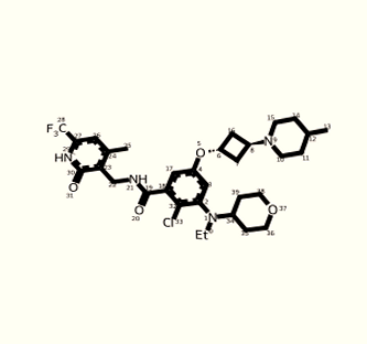 CCN(c1cc(O[C@H]2C[C@H](N3CCC(C)CC3)C2)cc(C(=O)NCc2c(C)cc(C(F)(F)F)[nH]c2=O)c1Cl)C1CCOCC1